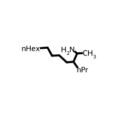 CCCCCCCCCCC(CCC)C(C)N